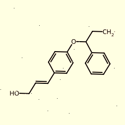 [CH2]CC(Oc1ccc(C=CCO)cc1)c1ccccc1